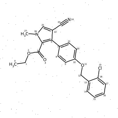 CCOC(=O)c1c(-c2ccc(OCc3ccccc3Cl)cc2)c(C#N)cn1C